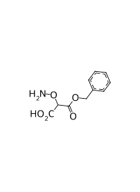 NOC(C(=O)O)C(=O)OCc1ccccc1